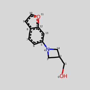 OCC1CN(c2ccc3ccoc3c2)C1